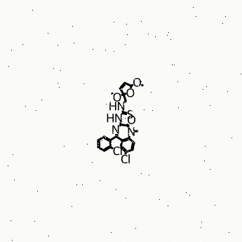 COC1C=CC(CNC(=S)NC2N=C(c3ccccc3Cl)c3cc(Cl)ccc3N(C)C2=O)(OC)O1